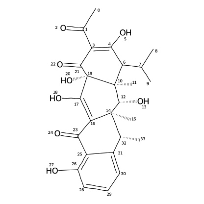 CC(=O)C1=C(O)C(C(C)C)[C@@]2(C)[C@H](O)[C@]3(C)C(=C(O)[C@@]2(O)C1=O)C(=O)c1c(O)cccc1[C@H]3C